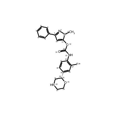 Cn1nc(-c2ccccc2)cc1OC(=O)Nc1ccc([C@H]2CNCCO2)cc1F